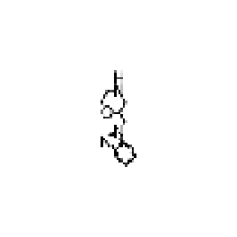 [c]1nc2ccccc2n1CC1CNCCO1